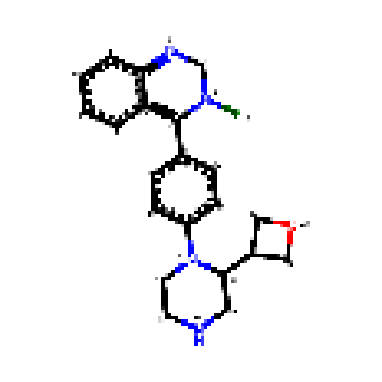 FN1CN=c2ccccc2=C1c1ccc(N2CCNCC2C2COC2)cc1